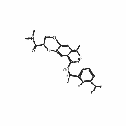 Cc1nnc(N[C@H](C)c2cccc(C(F)F)c2F)c2cc3c(cc12)OCC(C(=O)N(C)C)O3